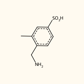 Cc1cc(S(=O)(=O)O)ccc1CN